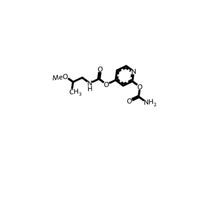 COC(C)CNC(=O)Oc1ccnc(OC(N)=O)c1